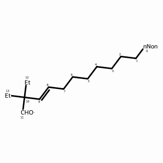 CCCCCCCCCCCCCCCCC=CC([C]=O)(CC)CC